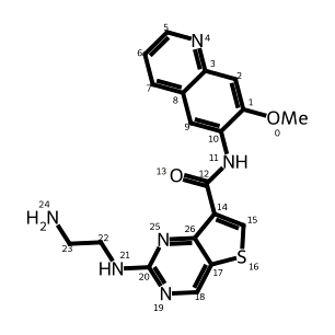 COc1cc2ncccc2cc1NC(=O)c1csc2cnc(NCCN)nc12